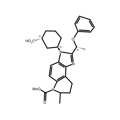 COC(=O)N1c2ccc3c(nc([C@@H](C)Oc4ccccc4)n3[C@@H]3CCC[C@@H](C(=O)O)C3)c2CCC1C